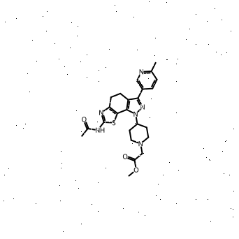 COC(=O)CN1CCC(n2nc(-c3ccc(C)nc3)c3c2-c2sc(NC(C)=O)nc2CC3)CC1